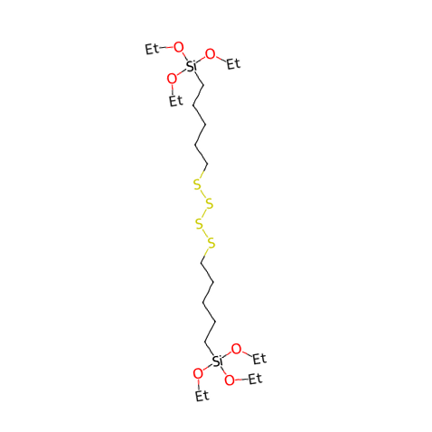 CCO[Si](CCCCCSSSSCCCCC[Si](OCC)(OCC)OCC)(OCC)OCC